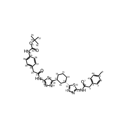 Cc1ccc(CC(=O)Nc2nnc([C@H]3CCC[C@H](c4nnc(NC(=O)Cc5ccc(NC(=O)OC(C)(C)C)cc5)s4)C3)s2)cc1